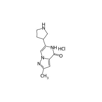 Cc1cc2c(=O)[nH]c(C3CCNC3)cn2n1.Cl